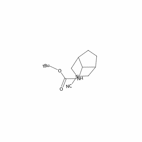 CC(C)(C)OC(=O)NC1C2CCC1CN(C#N)C2